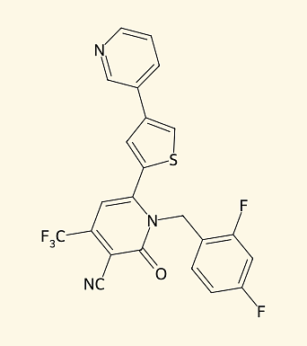 N#Cc1c(C(F)(F)F)cc(-c2cc(-c3cccnc3)cs2)n(Cc2ccc(F)cc2F)c1=O